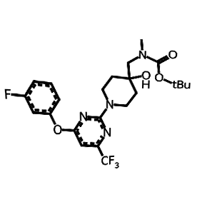 CN(CC1(O)CCN(c2nc(Oc3cccc(F)c3)cc(C(F)(F)F)n2)CC1)C(=O)OC(C)(C)C